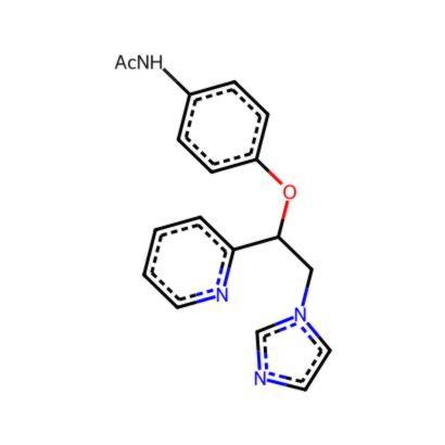 CC(=O)Nc1ccc(OC(Cn2ccnc2)c2ccccn2)cc1